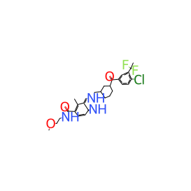 COCCNC(=O)C1=C(C)/C(=C/NCC2CCCC(C(=O)c3ccc(Cl)c(C(C)(F)F)c3)C2)C(=N)C=C1